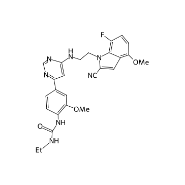 CCNC(=O)Nc1ccc(-c2cc(NCCn3c(C#N)cc4c(OC)ccc(F)c43)ncn2)cc1OC